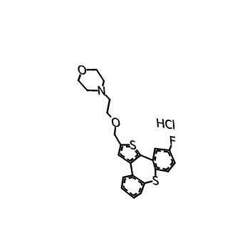 Cl.Fc1ccc2c(c1)-c1sc(COCCN3CCOCC3)cc1-c1ccccc1S2